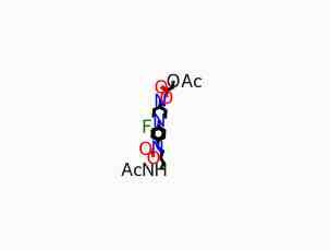 CC(=O)NCC1CN(c2ccc(N3CCC(=NOC(=O)COC(C)=O)CC3)c(F)c2)C(=O)O1